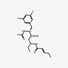 CCC=CC(=O)NC(CC)C[C@H](O)[C@H](Cc1cc(F)cc(F)c1)NC(C)=O